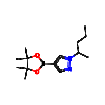 CCCC(C)n1cc(B2OC(C)(C)C(C)(C)O2)cn1